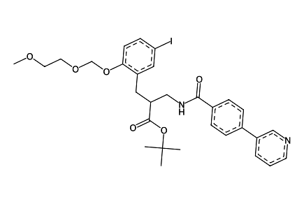 COCCOCOc1ccc(I)cc1CC(CNC(=O)c1ccc(-c2cccnc2)cc1)C(=O)OC(C)(C)C